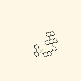 c1cc(-c2ccc3ccc4c(sc5c6ccccc6c6ccccc6c45)c3c2)cc(-c2c3ccccc3c(-c3cccc4ccccc34)c3ccccc23)c1